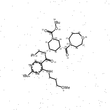 COCCCNc1nc(C(C)(C)C)ncc1C(=O)N(CC(C)C)[C@H]1C[C@@H](C(=O)N2CCCOCC2)CN(C(=O)OC(C)(C)C)C1